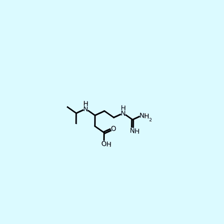 CC(C)NC(CCNC(=N)N)CC(=O)O